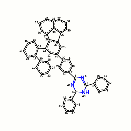 c1ccc(C2=NC(c3ccc(-c4cc(-c5ccccc5-c5ccccc5)c5c(c4)-c4cccc6cccc-5c46)cc3)=NC(c3ccccc3)N2)cc1